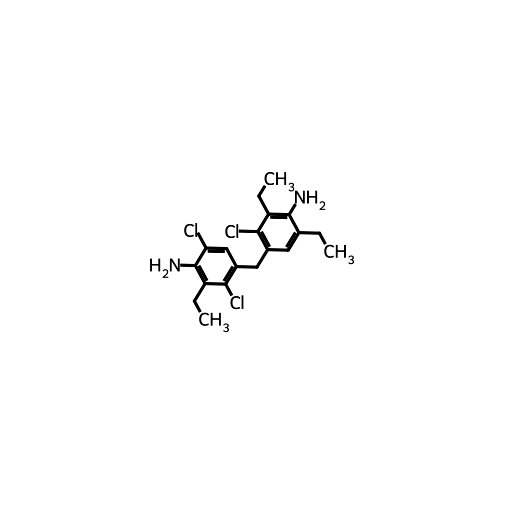 CCc1cc(Cc2cc(Cl)c(N)c(CC)c2Cl)c(Cl)c(CC)c1N